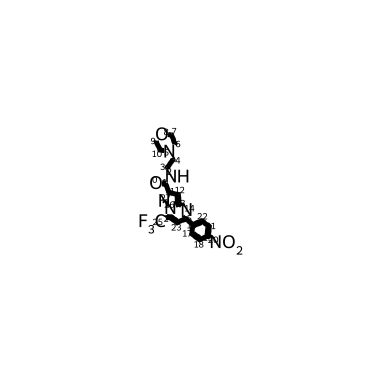 O=C(NCCN1CCOCC1)c1cc2nc(-c3ccc([N+](=O)[O-])cc3)cc(C(F)(F)F)n2n1